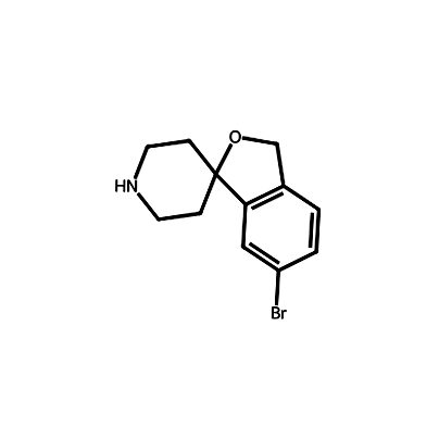 Brc1ccc2c(c1)C1(CCNCC1)OC2